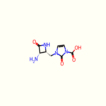 N[C@@H]1C(=O)N[C@@H]1Cn1ccn(C(=O)O)c1=O